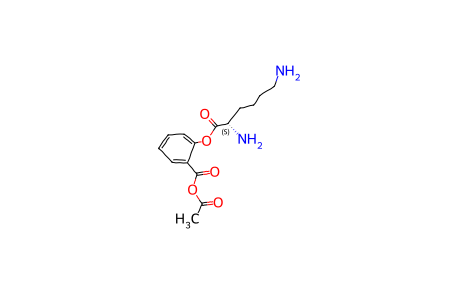 CC(=O)OC(=O)c1ccccc1OC(=O)[C@@H](N)CCCCN